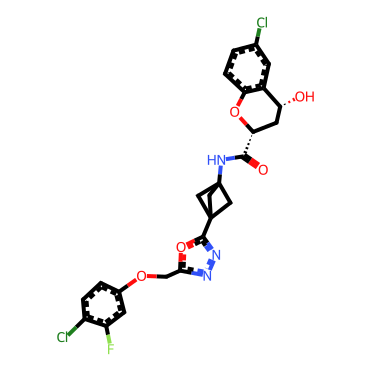 O=C(NC12CC(c3nnc(COc4ccc(Cl)c(F)c4)o3)(C1)C2)[C@H]1C[C@@H](O)c2cc(Cl)ccc2O1